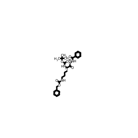 CC(C)(C)OC(=O)N[C@@H](CCCCNC(=O)OCc1ccccc1)C(=O)NNC(=O)c1ccccc1